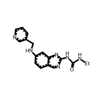 CCNC(=O)Nc1ncc2ccc(NCc3cccnc3)cc2n1